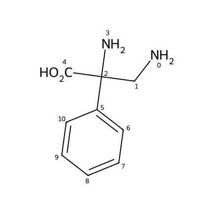 NCC(N)(C(=O)O)c1ccccc1